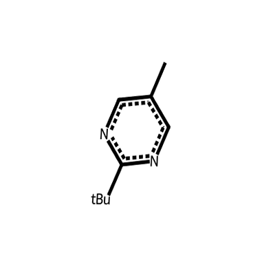 Cc1cnc(C(C)(C)C)nc1